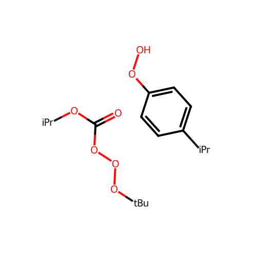 CC(C)OC(=O)OOOC(C)(C)C.CC(C)c1ccc(OO)cc1